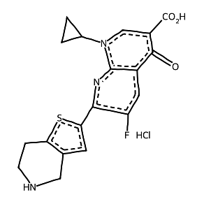 Cl.O=C(O)c1cn(C2CC2)c2nc(-c3cc4c(s3)CCNC4)c(F)cc2c1=O